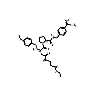 CCONCCNC(=O)C[C@@H](NSc1ccc(OC)cc1)C(=O)N1CCC[C@H]1C(=O)NCc1ccc(C(=N)N)cc1